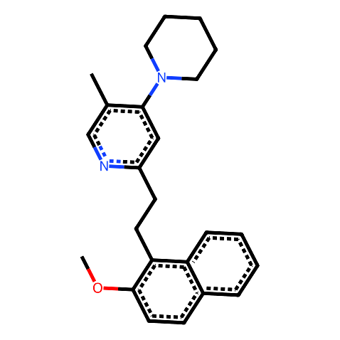 COc1ccc2ccccc2c1CCc1cc(N2CCCCC2)c(C)cn1